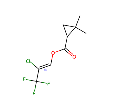 CC1(C)CC1C(=O)O/C=C(\Cl)C(F)(F)F